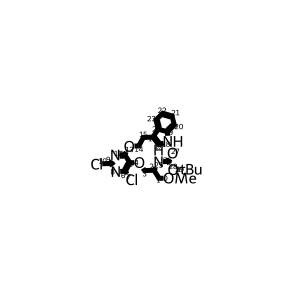 COCC(COc1c(Cl)nc(Cl)nc1OCCc1c[nH]c2ccccc12)NC(=O)OC(C)(C)C